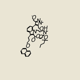 CCCC(C)(C)OC(=O)N(C)CCCn1c(C(=O)OCC)c(CCCOc2cccc3ccccc23)c2cccc(-c3c(COC)nn(C)c3CO)c21